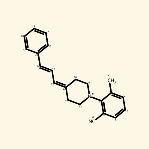 Cc1cccc(C#N)c1N1CCC(=CC=Cc2ccccc2)CC1